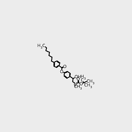 CCCCCCCc1ccc(C(=O)Oc2ccc(C(O)CN(C)C(=O)OC(C)(C)C)cc2)cc1